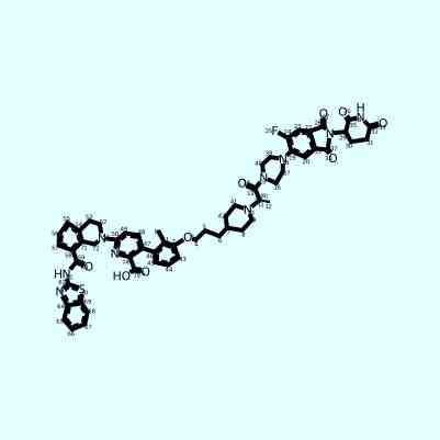 Cc1c(OCCCC2CCN([C@H](C)C(=O)N3CCN(c4cc5c(cc4F)C(=O)N(C4CCC(=O)NC4=O)C5=O)CC3)CC2)cccc1-c1ccc(N2CCc3cccc(C(=O)Nc4nc5ccccc5s4)c3C2)nc1C(=O)O